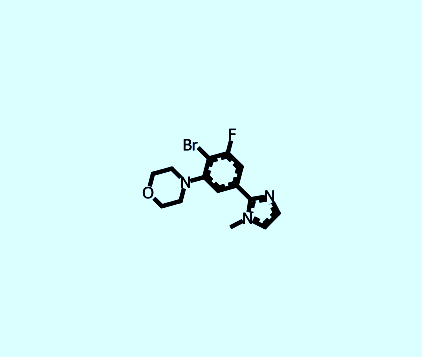 Cn1ccnc1-c1cc(F)c(Br)c(N2CCOCC2)c1